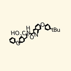 CC(C)(C)c1ccc(Oc2ccc3cc(C(=O)N[C@@H](Cc4ccc(Oc5ccccc5)cc4)C(=O)O)ncc3c2)cc1